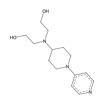 OCCN(CCO)C1CCN(c2ccncc2)CC1